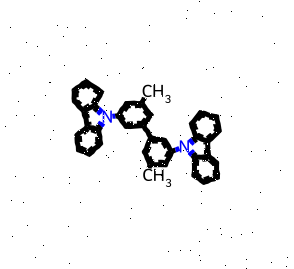 Cc1cc(-c2cc(C)cc(-n3c4ccccc4c4ccccc43)c2)cc(-n2c3ccccc3c3ccccc32)c1